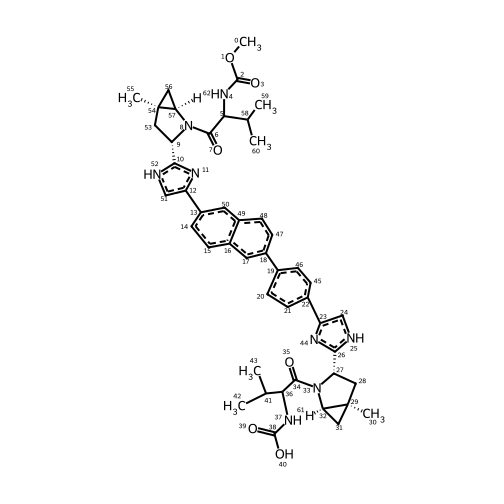 COC(=O)NC(C(=O)N1[C@H](c2nc(-c3ccc4cc(-c5ccc(-c6c[nH]c([C@@H]7C[C@@]8(C)C[C@H]8N7C(=O)C(NC(=O)O)C(C)C)n6)cc5)ccc4c3)c[nH]2)C[C@@]2(C)C[C@@H]12)C(C)C